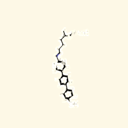 CCCCCOC(C)CCC/C=C/c1ncc(-c2ccc(-c3ccc(O)cc3)cc2)cn1